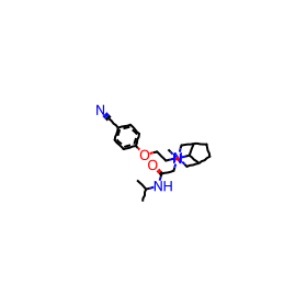 CC(C)NC(=O)CN(C)C1C2CCC1CN(CCOc1ccc(C#N)cc1)C2